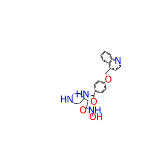 O=C(CC1(NC(=O)c2ccc(OCc3ccnc4ccccc34)cc2)CCNCC1)NO